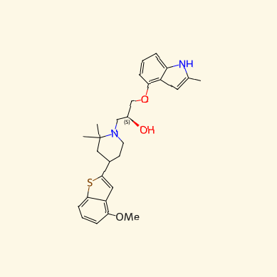 COc1cccc2sc(C3CCN(C[C@H](O)COc4cccc5[nH]c(C)cc45)C(C)(C)C3)cc12